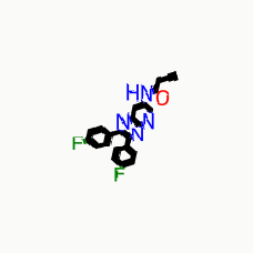 C#CCC(=O)Nc1cnc2nc(-c3ccc(F)cc3)c(-c3ccc(F)cc3)nc2c1